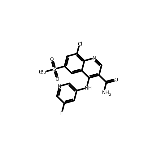 CC(C)(C)S(=O)(=O)c1cc(Cl)c2ncc(C(N)=O)c(Nc3cncc(F)c3)c2c1